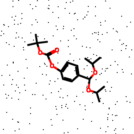 CC(C)OC(OC(C)C)c1ccc(OC(=O)OC(C)(C)C)cc1